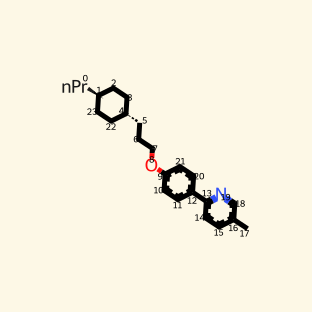 CCC[C@H]1CC[C@H](CCCOc2ccc(-c3ccc(C)cn3)cc2)CC1